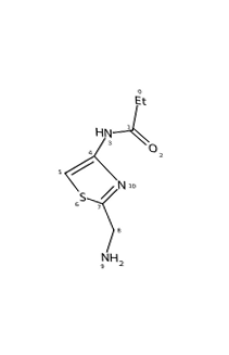 CCC(=O)Nc1csc(CN)n1